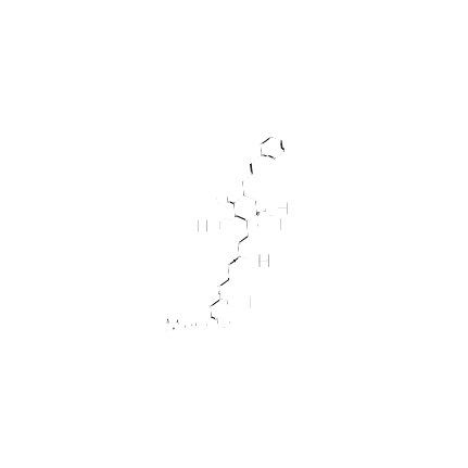 COC(=O)/C=C(C)/C=C/C=C(C)/C=C/C1=C(C)C(=O)C(C/C=C/c2ccccc2)CC1(C)C